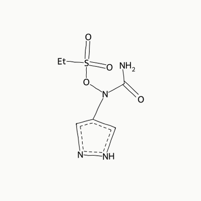 CCS(=O)(=O)ON(C(N)=O)c1cn[nH]c1